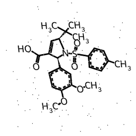 COc1ccc([C@H]2C(C(=O)O)=C[C@@H](C(C)(C)C)N2S(=O)(=O)c2ccc(C)cc2)cc1OC